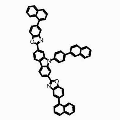 c1ccc2cc(-c3ccc(-n4c5cc(-c6nc7cc(-c8cccc9ccccc89)ccc7o6)ccc5c5ccc(-c6nc7cc(-c8cccc9ccccc89)ccc7o6)cc54)cc3)ccc2c1